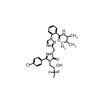 CC(C)C(C)NC(=O)c1ccccc1-n1cnc(Cn2nc(-c3ccc(Cl)cc3)n(C[C@H](O)C(F)(F)F)c2=O)n1